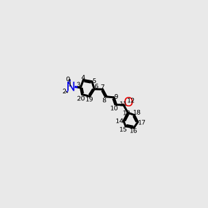 CN(C)c1ccc(C=CC=CC(=O)c2ccccc2)cc1